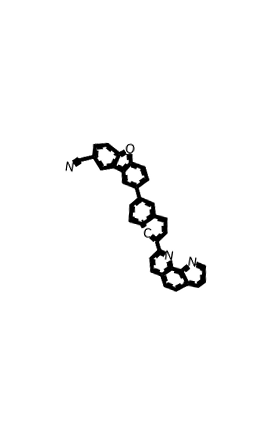 N#Cc1ccc2oc3ccc(-c4ccc5cc(-c6ccc7ccc8cccnc8c7n6)ccc5c4)cc3c2c1